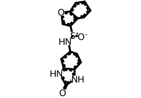 O=c1[nH]c2ccc(N[S+]([O-])c3coc4ccccc34)cc2[nH]1